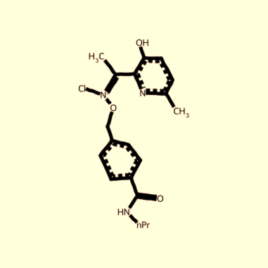 CCCNC(=O)c1ccc(CO[N+](Cl)=C(C)c2nc(C)ccc2O)cc1